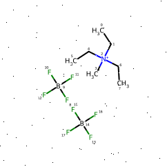 CC[N+](C)(CC)CC.F[B-](F)(F)F.F[B-](F)(F)F